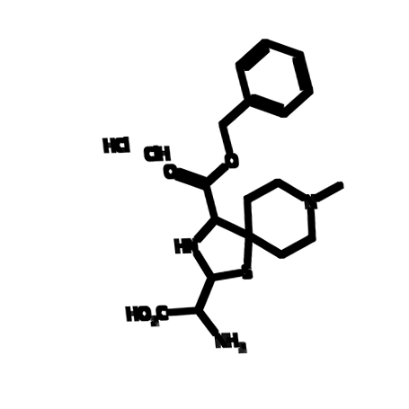 CN1CCC2(CC1)SC(C(N)C(=O)O)NC2C(=O)OCc1ccccc1.Cl.Cl